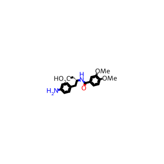 COc1ccc(C(=O)N[C@@H](CC(=O)O)Cc2ccc(N)cc2)cc1OC